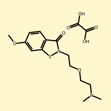 COc1ccc2c(=O)n(CCOCCN(C)C)sc2c1.O=C(O)C(=O)O